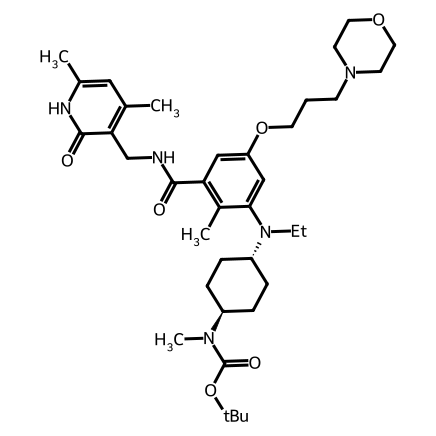 CCN(c1cc(OCCCN2CCOCC2)cc(C(=O)NCc2c(C)cc(C)[nH]c2=O)c1C)[C@H]1CC[C@H](N(C)C(=O)OC(C)(C)C)CC1